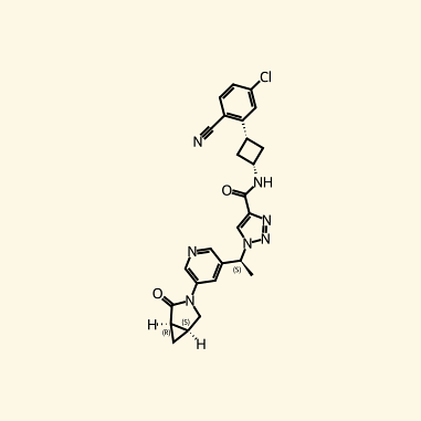 C[C@@H](c1cncc(N2C[C@H]3C[C@H]3C2=O)c1)n1cc(C(=O)N[C@H]2C[C@@H](c3cc(Cl)ccc3C#N)C2)nn1